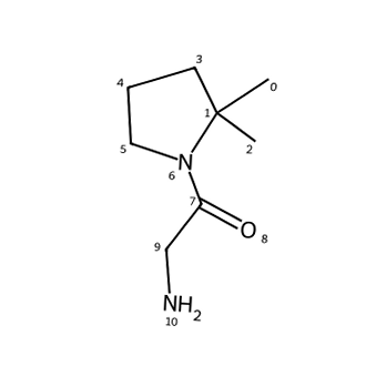 CC1(C)CCCN1C(=O)CN